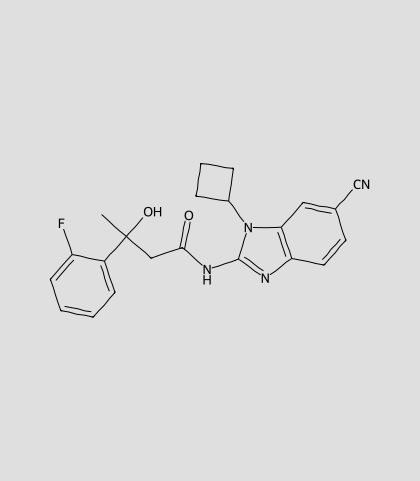 CC(O)(CC(=O)Nc1nc2ccc(C#N)cc2n1C1CCC1)c1ccccc1F